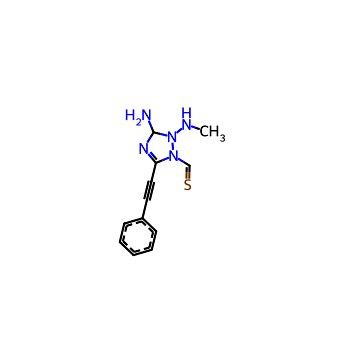 CNN1C(N)N=C(C#Cc2ccccc2)N1C=S